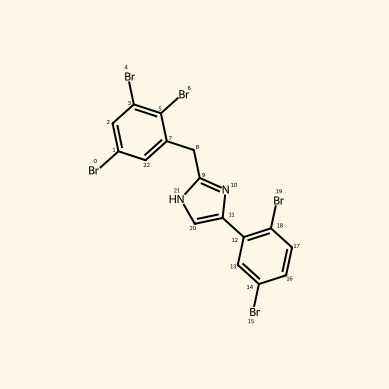 Brc1cc(Br)c(Br)c(Cc2nc(-c3cc(Br)ccc3Br)c[nH]2)c1